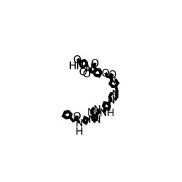 O=C1CC[C@H](N2C(=O)c3ccc(OCC(=O)N4CCC(CN5CCN(c6ccc(Nc7ncnc8c7ncn8C7CC(NC(=O)Cc8ccccc8)C7)cc6)CC5)CC4)cc3C2=O)C(=O)N1